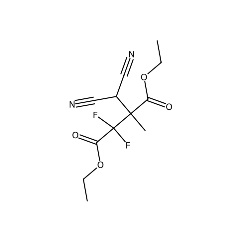 CCOC(=O)C(F)(F)C(C)(C(=O)OCC)C(C#N)C#N